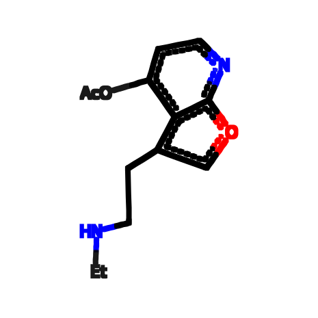 CCNCCc1coc2nccc(OC(C)=O)c12